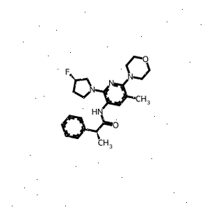 Cc1cc(NC(=O)[C@@H](C)c2ccccc2)c(N2CC[C@@H](F)C2)nc1N1CCOCC1